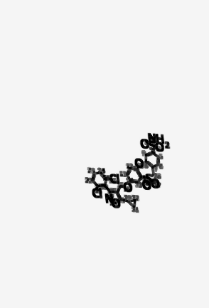 NS(=O)(=O)c1ccc2c(c1)Oc1ccc(OCc3c(-c4c(Cl)cccc4Cl)noc3C3CC3)cc1S(=O)(=O)C2